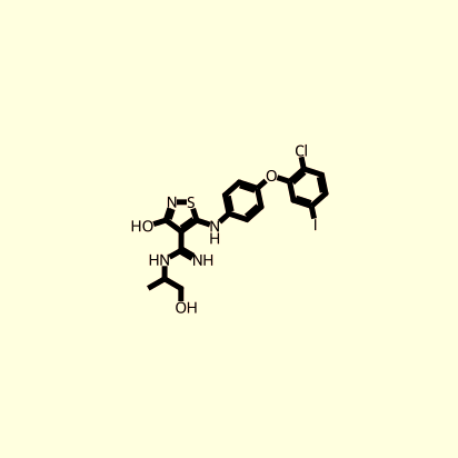 CC(CO)NC(=N)c1c(O)nsc1Nc1ccc(Oc2cc(I)ccc2Cl)cc1